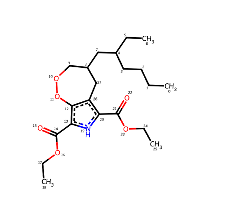 CCCCC(CC)CC1COOc2c(C(=O)OCC)[nH]c(C(=O)OCC)c2C1